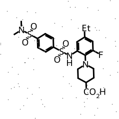 CCc1cc(F)c(N2CCC(C(=O)O)CC2)c(NS(=O)(=O)c2ccc(S(=O)(=O)N(C)C)cc2)c1